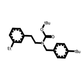 CCc1cccc(CCN(Cc2ccc(C(C)(C)C)cc2)C(=O)OC(C)(C)C)c1